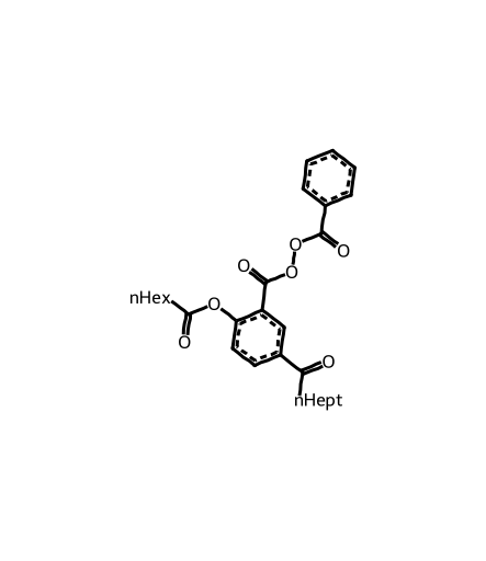 CCCCCCCC(=O)c1ccc(OC(=O)CCCCCC)c(C(=O)OOC(=O)c2ccccc2)c1